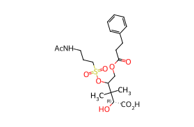 CC(=O)NCCCS(=O)(=O)OC(COC(=O)CCc1ccccc1)C(C)(C)[C@@H](O)C(=O)O